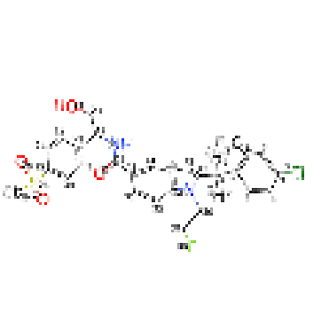 [2H]C([2H])(c1ccc(Cl)cc1C(F)(F)F)c1cc2cc(C(=O)NC(CO)c3ccc(S(=O)(=O)CC)cc3)ccc2n1CCF